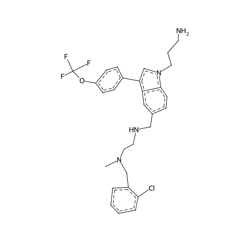 CN(CCNCc1ccc2c(c1)c(-c1ccc(OC(F)(F)F)cc1)cn2CCCN)Cc1ccccc1Cl